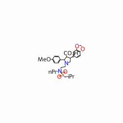 CCCN(CCN1CC(c2ccc3c(c2)OCO3)C(C(=O)O)C1c1ccc(OC)cc1)S(=O)(=O)CC(C)C